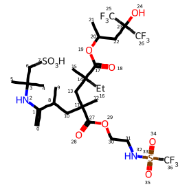 C=C(NC(C)(C)CS(=O)(=O)O)C(C)CC(C)(CC(C)(CC)C(=O)OC(C)CC(O)(C(F)(F)F)C(F)(F)F)C(=O)OCCNS(=O)(=O)C(F)(F)F